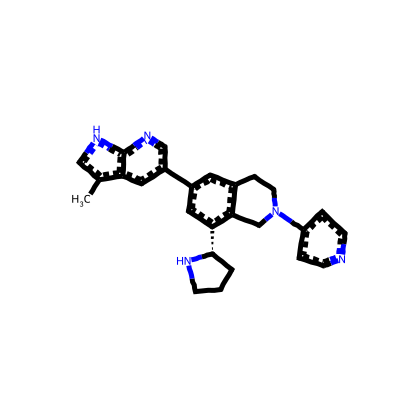 Cc1c[nH]c2ncc(-c3cc4c(c([C@@H]5CCCN5)c3)CN(c3ccncc3)CC4)cc12